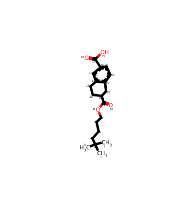 CC(C)(C)CCCCOC(=O)C1CCc2cc(C(=O)O)ccc2C1